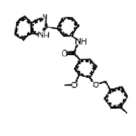 COc1cc(C(=O)Nc2cccc(-c3nc4ccccc4[nH]3)c2)ccc1OCc1ccc(C)cc1